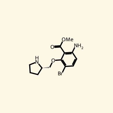 COC(=O)c1c(N)ccc(Br)c1OC[C@@H]1CCCN1